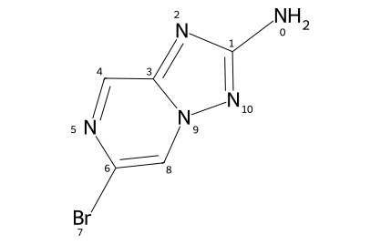 Nc1nc2cnc(Br)cn2n1